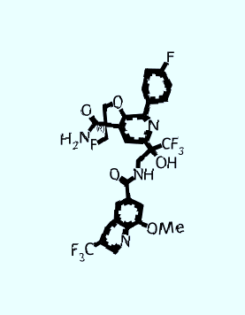 COc1cc(C(=O)NCC(O)(c2cc3c(c(-c4ccc(F)cc4)n2)OC[C@@]3(CF)C(N)=O)C(F)(F)F)cc2cc(C(F)(F)F)cnc12